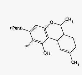 CCCCCc1cc2c(c(O)c1F)C1C=C(C)CCC1C(C)O2